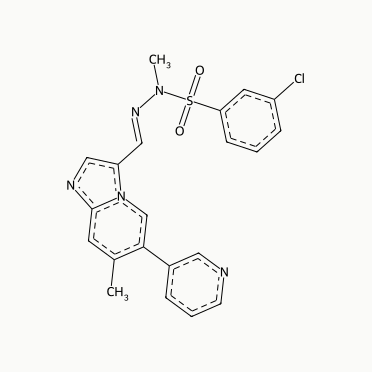 Cc1cc2ncc(/C=N/N(C)S(=O)(=O)c3cccc(Cl)c3)n2cc1-c1cccnc1